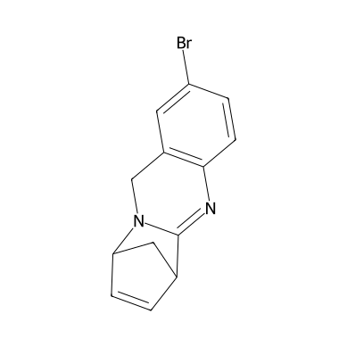 Brc1ccc2c(c1)CN1C(=N2)C2C=CC1C2